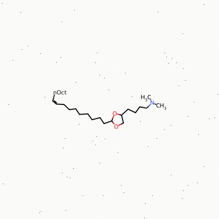 CCCCCCCC/C=C\CCCCCCCCC1OCC(CCCCN(C)C)O1